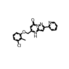 Cc1c(Cl)cccc1OCc1cc(=O)n2nc(-c3ccccn3)cc2[nH]1